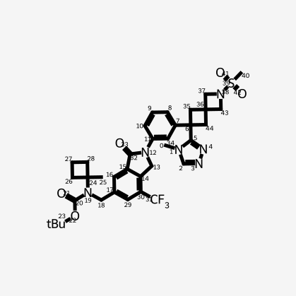 Cn1cnnc1C1(c2cccc(N3Cc4c(cc(CN(C(=O)OC(C)(C)C)C5(C)CCC5)cc4C(F)(F)F)C3=O)c2)CC2(CN(S(C)(=O)=O)C2)C1